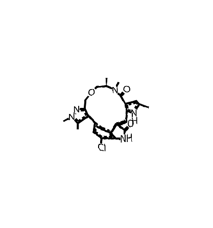 Cc1cc2c([nH]1)/C=C1\C(=O)Nc3c(Cl)cc(cc31)-c1c(nn(C)c1C)COC[C@@H](C)N(C)C2=O